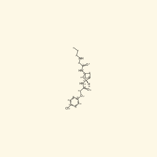 CCCNCC(=O)NC12CC(C1)[C@H](NC(=O)COc1ccc(Cl)cc1)C2